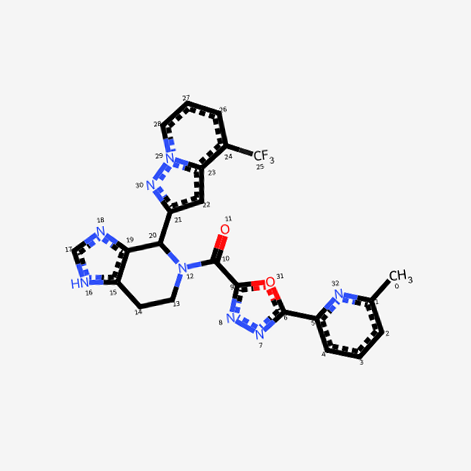 Cc1cccc(-c2nnc(C(=O)N3CCc4[nH]cnc4C3c3cc4c(C(F)(F)F)cccn4n3)o2)n1